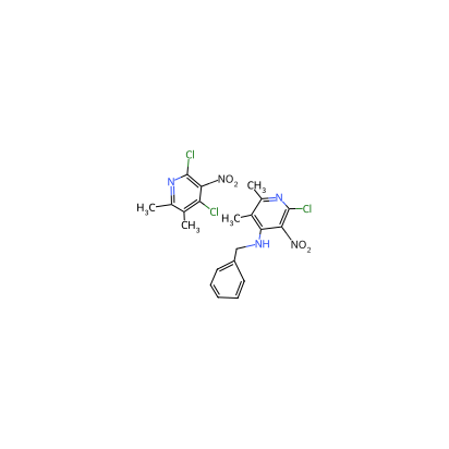 Cc1nc(Cl)c([N+](=O)[O-])c(Cl)c1C.Cc1nc(Cl)c([N+](=O)[O-])c(NCc2ccccc2)c1C